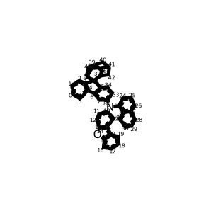 c1ccc2c(c1)-c1cc(N(c3ccc4oc5ccccc5c4c3)c3cccc4ccccc34)ccc1C21C2CC3CC(C2)CC1C3